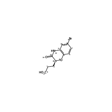 O=C(O)CC[C@@H]1Oc2ccc(Br)cc2NC1=O